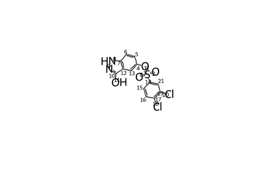 O=S(=O)(Oc1ccc2[nH]nc(O)c2c1)c1ccc(Cl)c(Cl)c1